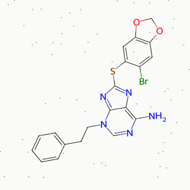 Nc1ncn(CCc2ccccc2)c2nc(Sc3cc4c(cc3Br)OCO4)nc1-2